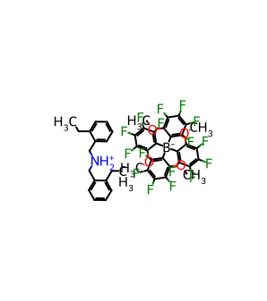 CCc1ccccc1C[NH2+]Cc1ccccc1CC.COc1c(F)c(F)c(F)c(F)c1[B-](c1c(F)c(F)c(F)c(F)c1OC)(c1c(F)c(F)c(F)c(F)c1OC)c1c(F)c(F)c(F)c(F)c1OC